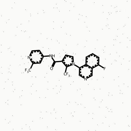 O=C(Nc1ccnc(C(F)(F)F)c1)c1ccn(-c2cncc3c(F)cccc23)c1C(F)(F)F